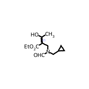 CCOC(=O)/C(CN(C=O)CC1CC1)=C(/C)O